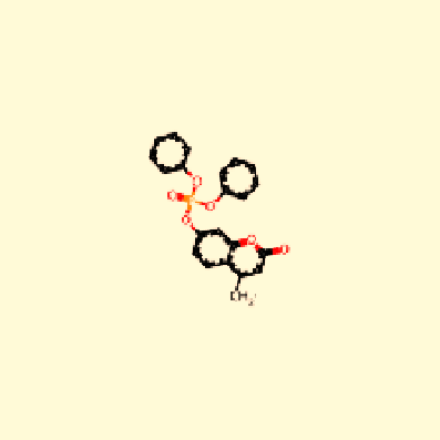 [CH2]c1cc(=O)oc2cc(OP(=O)(Oc3ccccc3)Oc3ccccc3)ccc12